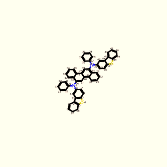 C1=Cc2c(sc3ccc(N(c4ccccc4)c4cc5c6ccccc6c(N(c6ccccc6)c6ccc7sc8ccccc8c7c6)cc5c5ccccc45)cc23)CC1